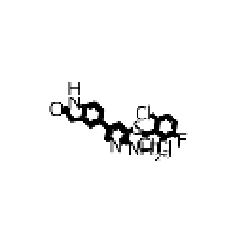 CC(Sc1cc(-c2ccc3c(c2)CC(=O)N3)cnc1N)c1c(Cl)ccc(F)c1Cl